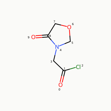 O=C(Cl)CN1COCC1=O